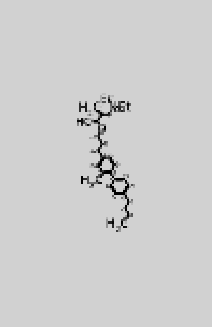 C=CCCc1ccc(-c2ccc(CCCOC(O)C(=C)CN(CC)CC)cc2C)cc1